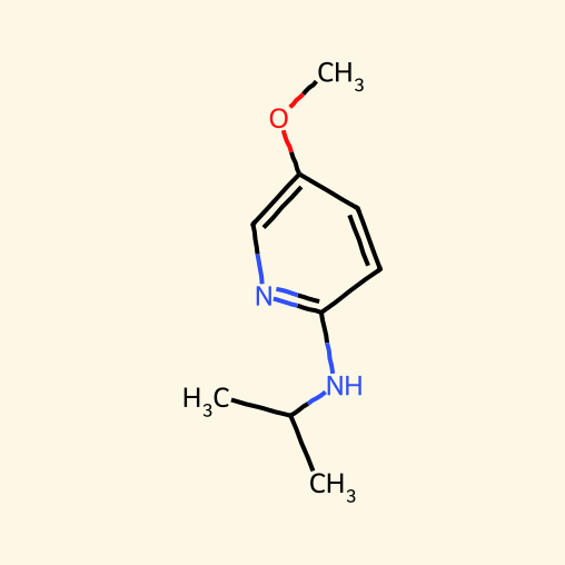 COc1ccc(NC(C)C)nc1